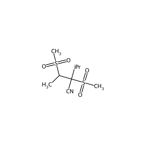 CC(C)C(C#N)(C(C)S(C)(=O)=O)S(C)(=O)=O